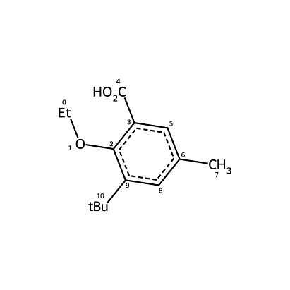 CCOc1c(C(=O)O)cc(C)cc1C(C)(C)C